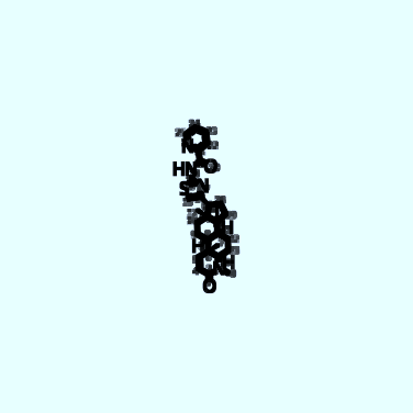 CN1C(=O)C=C[C@]2(C)[C@H]3CC[C@]4(C)[C@@H](c5csc(NC(=O)c6ccccn6)n5)CC[C@H]4[C@@H]3CC[C@@H]12